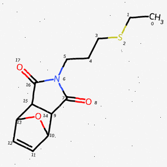 CCSCCCN1C(=O)C2C3C=CC(O3)C2C1=O